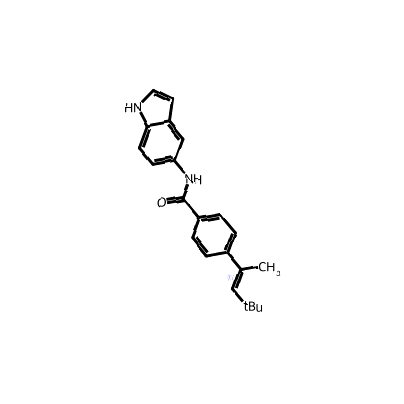 C/C(=C\C(C)(C)C)c1ccc(C(=O)Nc2ccc3[nH]ccc3c2)cc1